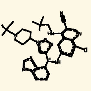 CC(C)(C)CNc1c(C#N)cnc2c(Cl)cc(N[C@H](c3cn(C4CCN(C(C)(C)C)CC4)nn3)c3cccc4ncsc34)cc12